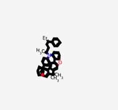 CCC(CCC(C)N(c1ccc(-c2ccccc2)cc1)c1cccc2oc3cc4c(cc3c12)-c1ccccc1C4(C)C)c1ccccc1